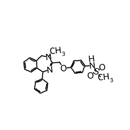 CN1Cc2ccccc2C(c2ccccc2)N=C1COc1ccc(NS(C)(=O)=O)cc1